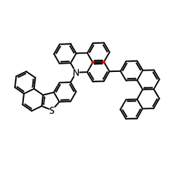 c1ccc(-c2ccccc2N(c2ccc(-c3ccc4ccc5ccc6ccccc6c5c4c3)cc2)c2ccc3sc4ccc5ccccc5c4c3c2)cc1